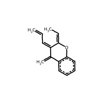 C=C/C=C1/C(=C)c2ccccc2O/C1=C/C